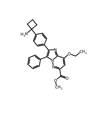 CCOc1cc(C(=O)OC)nn2c(-c3ccccc3)c(-c3ccc(C4(N)CCC4)cc3)nc12